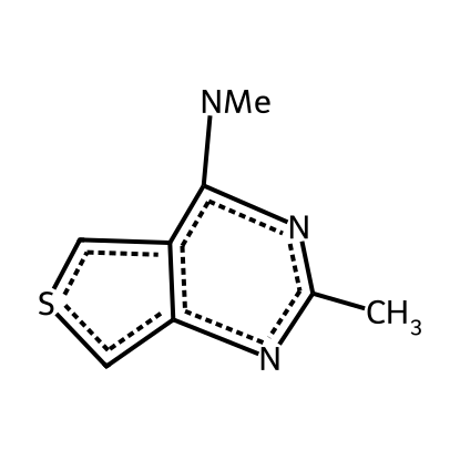 CNc1nc(C)nc2cscc12